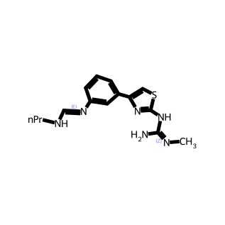 CCCN/C=N/c1cccc(-c2csc(N/C(N)=N\C)n2)c1